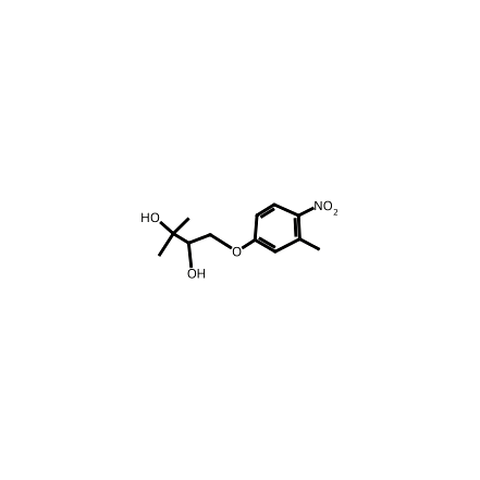 Cc1cc(OCC(O)C(C)(C)O)ccc1[N+](=O)[O-]